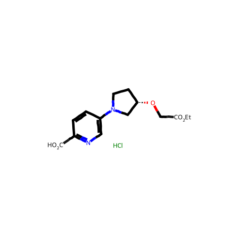 CCOC(=O)CO[C@H]1CCN(c2ccc(C(=O)O)nc2)C1.Cl